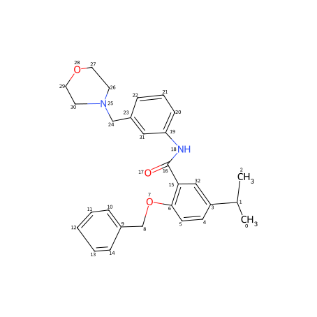 CC(C)c1ccc(OCc2ccccc2)c(C(=O)Nc2cccc(CN3CCOCC3)c2)c1